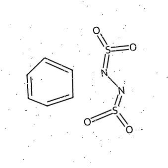 O=S(=O)=NN=S(=O)=O.c1ccccc1